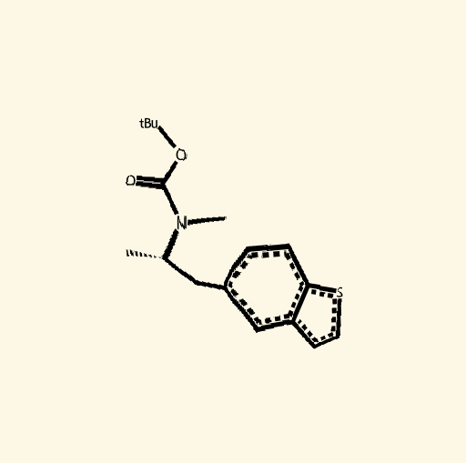 C[C@@H](Cc1ccc2sccc2c1)N(C)C(=O)OC(C)(C)C